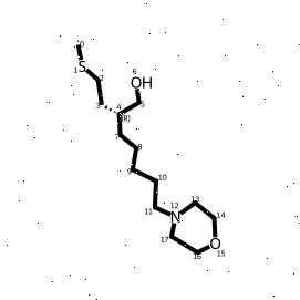 [CH2]SCC[C@H](CO)CCCCCN1CCOCC1